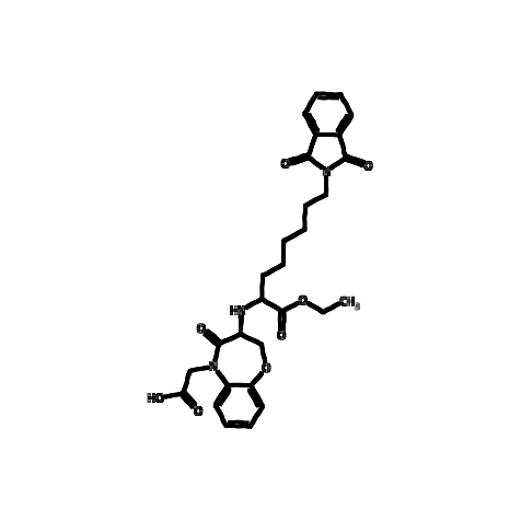 CCOC(=O)C(CCCCCCN1C(=O)c2ccccc2C1=O)N[C@H]1COc2ccccc2N(CC(=O)O)C1=O